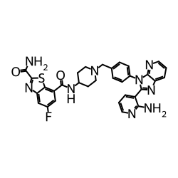 NC(=O)c1nc2cc(F)cc(C(=O)NC3CCN(Cc4ccc(-n5c(-c6cccnc6N)nc6cccnc65)cc4)CC3)c2s1